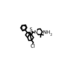 CC1(C)CN(C(=S)C23CC4CC(CCl)(C2)CC(c2ccccc2)(C4)C3)CC[C@@H]1N